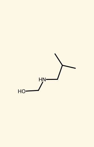 CC(C)CNCO